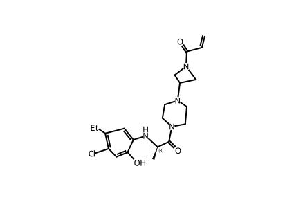 C=CC(=O)N1CC(N2CCN(C(=O)[C@@H](C)Nc3cc(CC)c(Cl)cc3O)CC2)C1